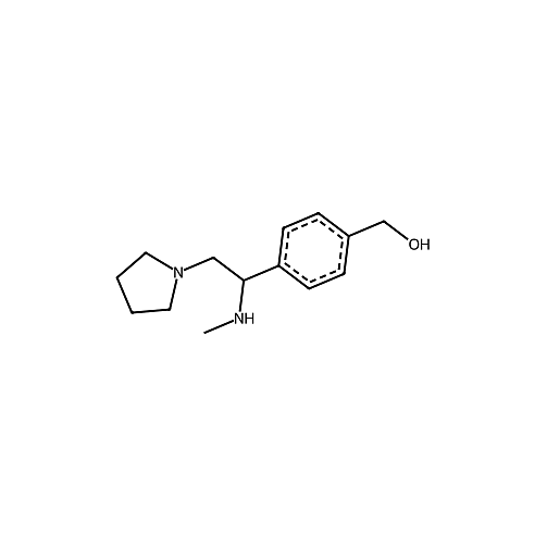 CNC(CN1CCCC1)c1ccc(CO)cc1